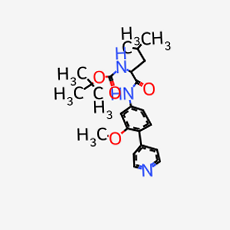 COc1cc(NC(=O)C(CC(C)C)NC(=O)OC(C)(C)C)ccc1-c1ccncc1